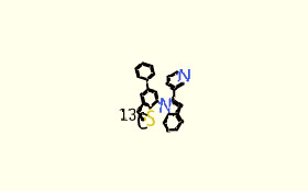 c1ccc(-c2cc(-n3c(-c4cccnc4)cc4ccccc43)c3s[13cH]cc3c2)cc1